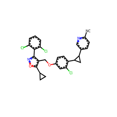 [C-]#[N+]c1ccc(C2CC2c2ccc(OCc3c(-c4c(Cl)cccc4Cl)noc3C3CC3)cc2Cl)cn1